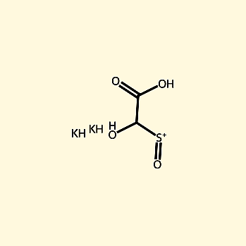 O=[S+]C(O)C(=O)O.[KH].[KH]